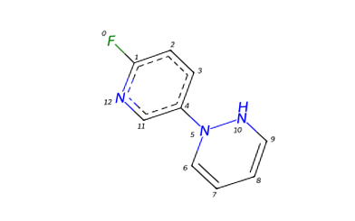 Fc1ccc(N2C=CC=CN2)cn1